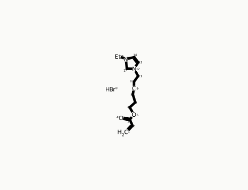 Br.C=CC(=O)OCCCCCCN1C=CN(CC)C1